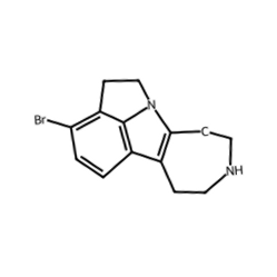 Brc1ccc2c3c(n4c2c1CC4)CCNCC3